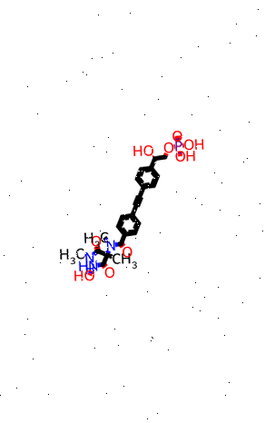 CNC(=O)C(C)(C(=O)NO)N(C)C(=O)c1ccc(C#Cc2ccc([C@H](O)COP(=O)(O)O)cc2)cc1